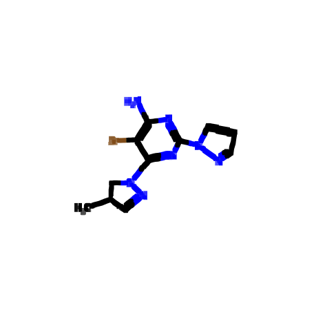 CC1C=NN(c2nc(-n3cccn3)nc(N)c2Br)C1